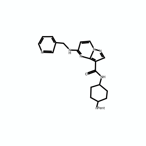 CCCCCC1CCC(NC(=O)c2cnn3ccc(NCc4cccnc4)nc23)CC1